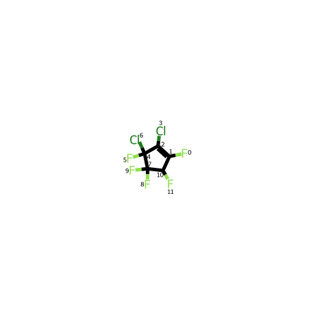 FC1=C(Cl)C(F)(Cl)C(F)(F)C1F